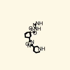 N=NNS(=O)(=O)C1=CC(c2nc(C3=CCCNC3)no2)CC=C1